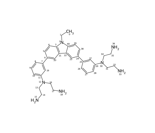 CCn1c2ccc(-c3cccc(N(CCN)CCN)c3)cc2c2cc(-c3cccc(N(CCN)CCN)c3)ccc21